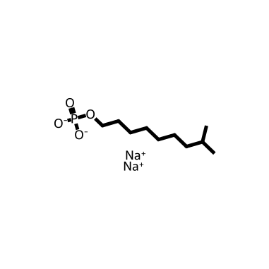 CC(C)CCCCCCCOP(=O)([O-])[O-].[Na+].[Na+]